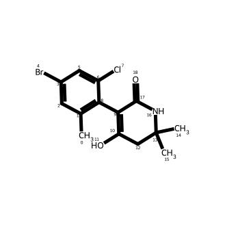 Cc1cc(Br)cc(Cl)c1C1=C(O)CC(C)(C)NC1=O